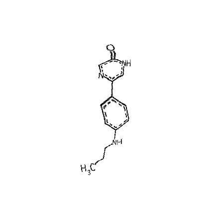 CCCNc1ccc(-c2c[nH]c(=O)cn2)cc1